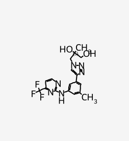 Cc1cc(Nc2nccc(C(F)(F)F)n2)cc(-c2cn(C[C@](C)(O)CO)nn2)c1